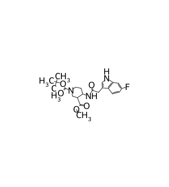 COC(=O)C1CN(C(=O)OC(C)(C)C)CCC1NC(=O)Cc1c[nH]c2cc(F)ccc12